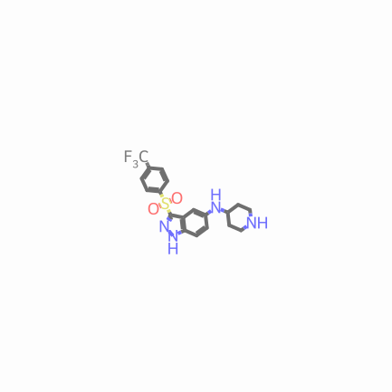 O=S(=O)(c1ccc(C(F)(F)F)cc1)c1n[nH]c2ccc(NC3CCNCC3)cc12